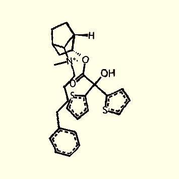 C[N+](C)(CCCCc1ccccc1)C1C2CC[C@@H]1[C@H](OC(=O)C(O)(c1cccs1)c1cccs1)C2